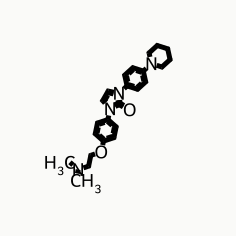 CN(C)CCOc1ccc(-n2ccn(-c3ccc(N4CCCCC4)cc3)c2=O)cc1